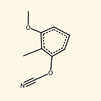 COc1cccc(OC#N)c1C